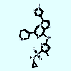 Cc1cc(Nc2nc(C3=CCCNC3)cn3c(-c4cn[nH]c4)cnc23)sc1S(=O)(=O)NC1CC1